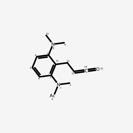 CC(=O)N(C)c1cccc(N(C)C)c1CC=C=O